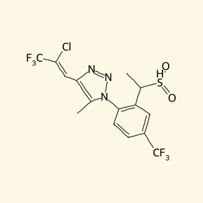 Cc1c(/C=C(\Cl)C(F)(F)F)nnn1-c1ccc(C(F)(F)F)cc1C(C)[SH](=O)=O